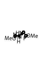 COc1cncc(-c2cc(-c3cc4c(-c5cc(F)cc(OC)c5)cccc4[nH]3)n[nH]2)c1